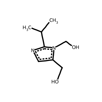 CC(C)c1ncc(CO)n1CO